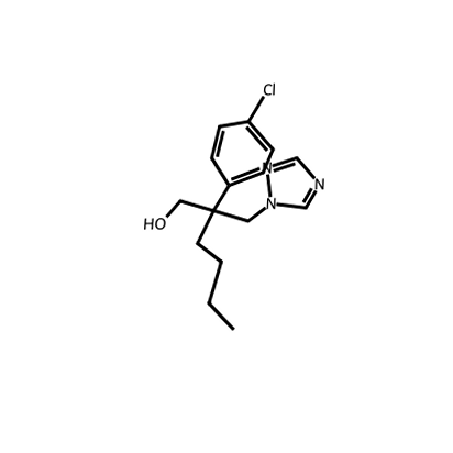 CCCCC(CO)(Cn1cncn1)c1ccc(Cl)cc1